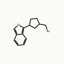 CC(=O)CC1CCC(c2occ3ccccc23)C1